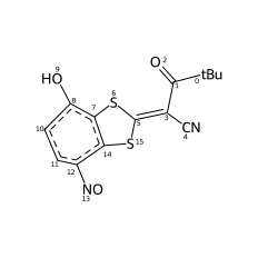 CC(C)(C)C(=O)/C(C#N)=C1\Sc2c(O)ccc(N=O)c2S1